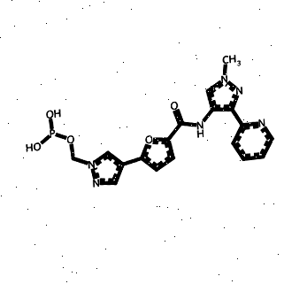 Cn1cc(NC(=O)c2ccc(-c3cnn(COP(O)O)c3)o2)c(-c2ccccn2)n1